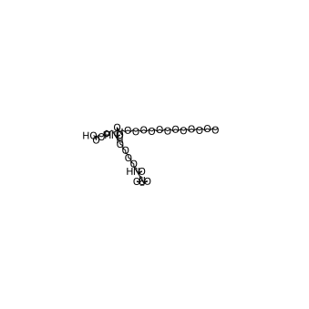 COCCOCCOCCOCCOCCOCCOCCOCCOCCOCCOCCOCCNC(=O)[C@H](Cc1ccc(OCC(=O)O)cc1)NC(=O)CCOCCOCCOCCOCCNC(=O)CCN1C(=O)C=CC1=O